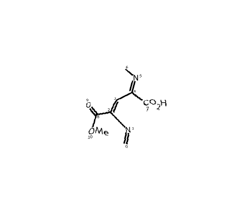 C=N/C(=C\C(=N/C)C(=O)O)C(=O)OC